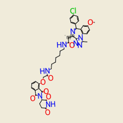 COc1ccc2c(c1)C(c1ccc(Cl)cc1)=N[C@@H]([C@@H](C)C(=O)NCCCCCCCNC(=O)COc1cccc3c1C(=O)N(C1CCC(=O)NC1=O)C3=O)c1nnc(C)n1-2